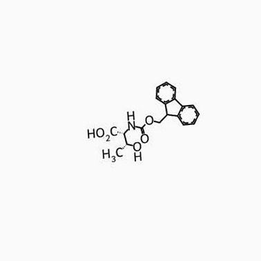 C[C@@H](O)[C@@H](NC(=O)OCC1c2ccccc2-c2ccccc21)C(=O)O